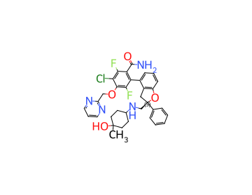 CC1(O)CCC(NC[C@@]2(c3ccccc3)Cc3c(cccc3-c3c(F)c(OCc4ncccn4)c(Cl)c(F)c3C(N)=O)O2)CC1